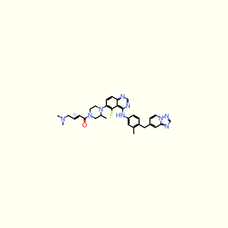 Cc1cc(Nc2ncnc3ccc(N4CCN(C(=O)/C=C/CN(C)C)CC4C)c(F)c23)ccc1Cc1ccn2ncnc2c1